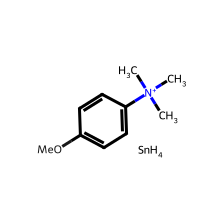 COc1ccc([N+](C)(C)C)cc1.[SnH4]